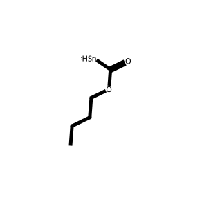 CCCCO[C](=O)[SnH]